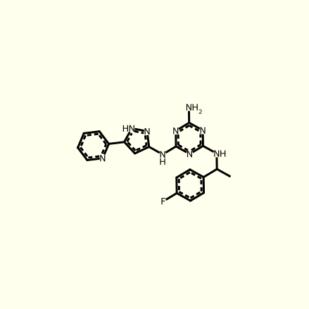 CC(Nc1nc(N)nc(Nc2cc(-c3ccccn3)[nH]n2)n1)c1ccc(F)cc1